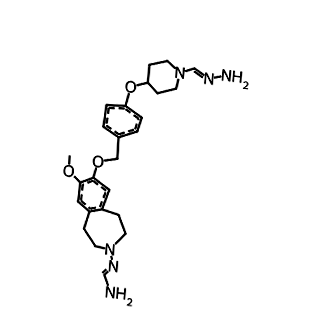 COc1cc2c(cc1OCc1ccc(OC3CCN(C=NN)CC3)cc1)CCN(N=CN)CC2